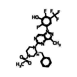 Cc1nn(-c2cc(C(F)(F)F)c(F)c(O)c2F)c2cnc(N3CCN(S(C)(=O)=O)C[C@H]3Cc3ccccc3)nc12